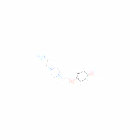 COc1ccc(OCCN2CCN(CCN)CC2)cc1